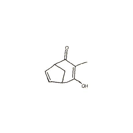 CC1=C(O)C2C=CC(C2)C1=O